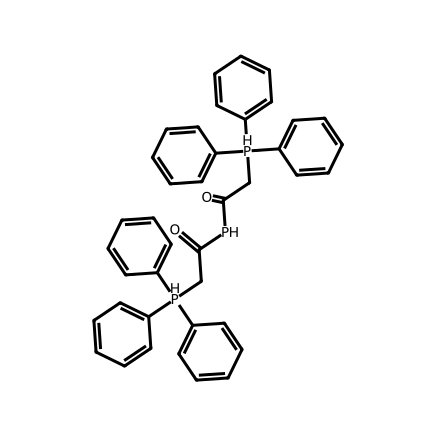 O=C(C[PH](c1ccccc1)(c1ccccc1)c1ccccc1)PC(=O)C[PH](c1ccccc1)(c1ccccc1)c1ccccc1